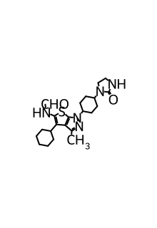 Cc1nn(C2CCC(N3CCNC3=O)CC2)c2sc(NC=O)c(C3CCCCC3)c12